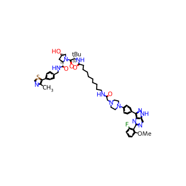 COc1cccc(F)c1-c1ncc2[nH]nc(-c3ccc(N4CCN(CC(=O)NCCCCCCCCCC(=O)N[C@H](C(=O)N5C[C@H](O)C[C@H]5C(=O)NCc5ccc(-c6scnc6C)cc5)C(C)(C)C)CC4)cc3)c2n1